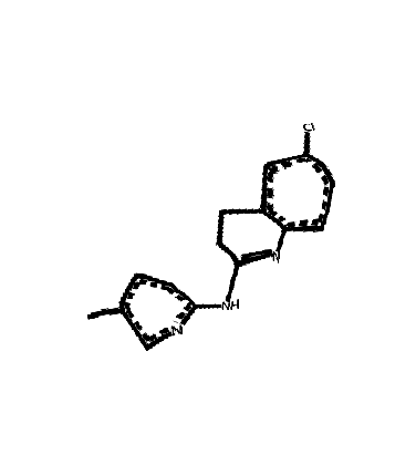 Cc1ccc(NC2=Nc3ccc(Cl)cc3CC2)nc1